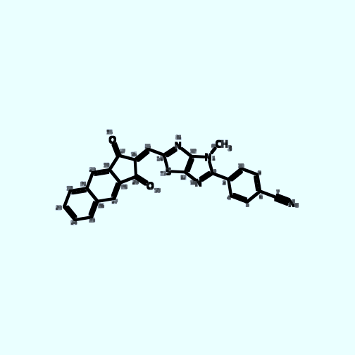 Cn1c(-c2ccc(C#N)cc2)nc2sc(C=C3C(=O)c4cc5ccccc5cc4C3=O)nc21